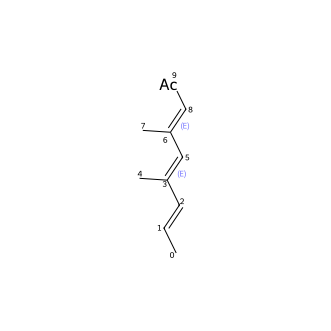 CC=C/C(C)=C/C(C)=C/C(C)=O